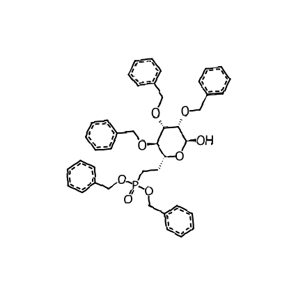 O=P(CC[C@H]1O[C@H](O)[C@@H](OCc2ccccc2)[C@@H](OCc2ccccc2)[C@@H]1OCc1ccccc1)(OCc1ccccc1)OCc1ccccc1